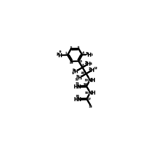 [2H]c1ccc([2H])c(C([2H])([2H])C([2H])([2H])NC(=N)NC(C)=N)c1